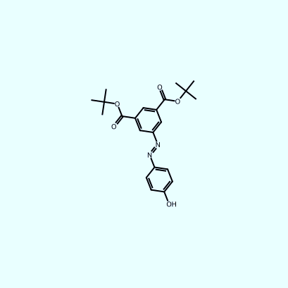 CC(C)(C)OC(=O)c1cc(N=Nc2ccc(O)cc2)cc(C(=O)OC(C)(C)C)c1